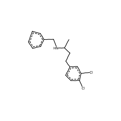 CC(CCc1ccc(Cl)c(Cl)c1)NCc1ccccc1